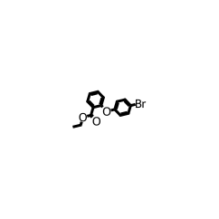 CCOC(=O)c1ccccc1Oc1ccc(Br)cc1